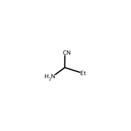 CCC(N)C#N